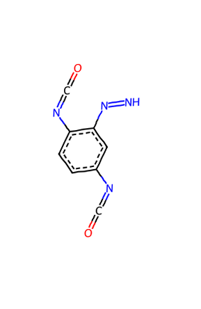 N=Nc1cc(N=C=O)ccc1N=C=O